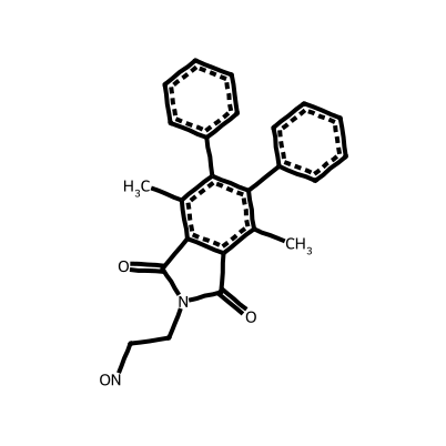 Cc1c2c(c(C)c(-c3ccccc3)c1-c1ccccc1)C(=O)N(CCN=O)C2=O